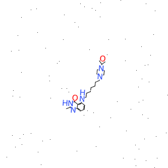 Cc1nc2cccc(NCCCCCCCN3CCN(C4COC4)CC3)c2c(=O)[nH]1